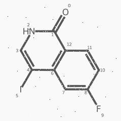 O=c1[nH]cc(I)c2cc(F)ccc12